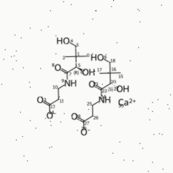 CC(C)(CO)[C@@H](O)C(=O)NCCC(=O)[O-].CC(C)(CO)[C@H](O)C(=O)NCCC(=O)[O-].[Ca+2]